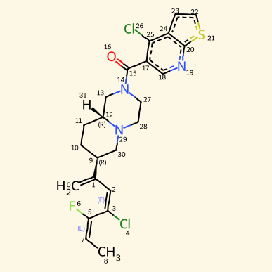 C=C(/C=C(Cl)\C(F)=C/C)[C@H]1CC[C@@H]2CN(C(=O)c3cnc4sccc4c3Cl)CCN2C1